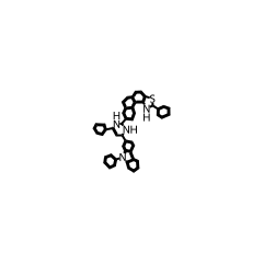 C1=C(c2ccccc2)NC(c2ccc3c(ccc4ccc5c(c43)NC(c3ccccc3)S5)c2)NC1c1ccc2c3ccccc3n(-c3ccccc3)c2c1